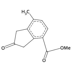 COC(=O)c1ccc(C)c2c1CC(=O)C2